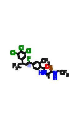 C[C@@H](NC(=O)c1ccc(/C(F)=C/C(c2cc(Cl)c(Cl)c(Cl)c2)C(F)(F)F)cc1C(F)(F)F)C(=S)NCC(F)(F)F